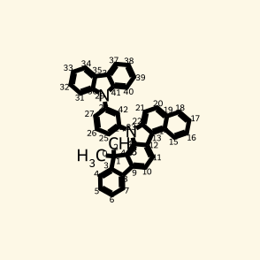 CC1(C)c2ccccc2-c2ccc3c4c5ccccc5ccc4n(-c4cccc(-n5c6ccccc6c6ccccc65)c4)c3c21